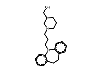 OCC1CCCN(CCCN2c3ccccc3CCc3ccccc32)C1